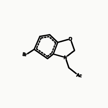 CC(=O)CN1COc2ccc(Br)cc21